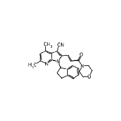 Cc1cc(C)c2c(C#N)c(C=CC(=O)N3CCOCC3)n(C3CCc4ccccc43)c2n1